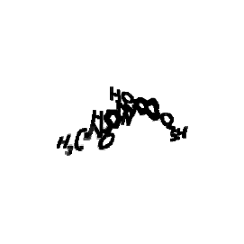 CCNC(=O)c1ccc2nn(-c3cc4cc(OCCS)ccc4cc3O)nc2c1